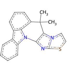 CC1(C)c2cccc3c4ccccc4n(c23)-c2nc3sccn3c21